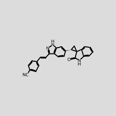 N#Cc1ccc(/C=C/c2n[nH]c3cc([C@@H]4CC45C(=O)Nc4ccccc45)ccc23)cc1